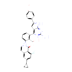 COc1ccc(-c2cc3c(-c4cccc(-n5ccc6cc(C7CC7)cc(F)c6c5=O)c4CO)nc(N)nc3[nH]2)cc1